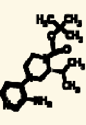 CC(C)[C@@H]1CN(c2ccncc2N)CCN1C(=O)OC(C)(C)C